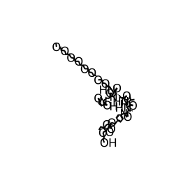 CCC(OC(=O)OCc1ccc(NC(=O)[C@H](C)NC(=O)[C@@H](NC(=O)CC[C@H](NC(=O)CCN2C(=O)C=CC2=O)C(=O)NCCOCCOCCOCCOCCOCCOCCOCCOC)C(C)C)cc1)C(=O)OCCO